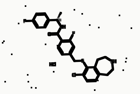 C[C@H](NC(=O)c1ccc(CSc2c(Cl)ccc3c2CCNCC3)cc1F)c1ccc(F)cc1.Cl